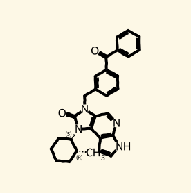 C[C@@H]1CCCC[C@@H]1n1c(=O)n(Cc2cccc(C(=O)c3ccccc3)c2)c2cnc3[nH]ccc3c21